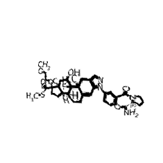 COCC(=O)O[C@]1(C(=O)SC)CC[C@H]2[C@@H]3CCC4=Cc5c(cnn5-c5cccc(C(=O)N6CCC[C@@H]6C(N)=O)c5)CC4(C)C3(F)C(O)C[C@@]21C